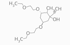 C#CC1(O)C[C@@H](OCCOCC)C[C@H](OCCOCC)C1C